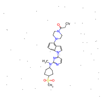 CN(c1nccc(-n2ccc3c(N4CCN(C(=O)CC#N)CC4)cccc32)n1)C1CCC(S(C)(=O)=O)CC1